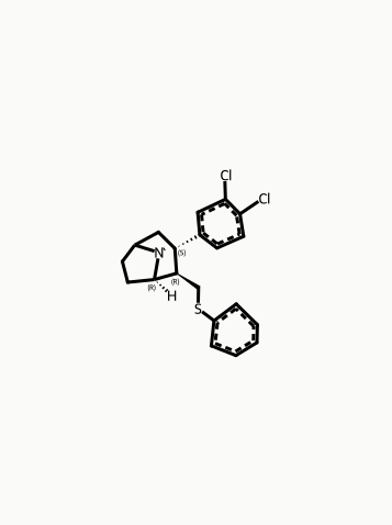 CN1C2CC[C@@H]1[C@H](CSc1ccccc1)[C@@H](c1ccc(Cl)c(Cl)c1)C2